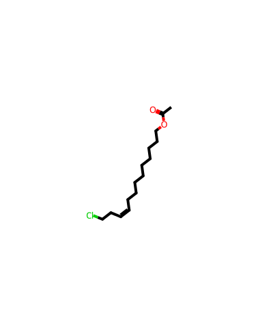 CC(=O)OCCCCCCCCC/C=C\CCCl